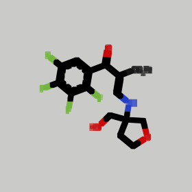 CCOC(=O)C(=CNC1(CO)CCOC1)C(=O)c1cc(F)c(F)c(F)c1F